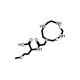 CSCCC(NC(=O)CN1CCNCCNCCNCC1)C(=O)O